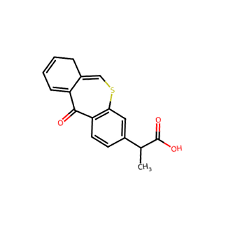 CC(C(=O)O)c1ccc2c(c1)SC=C1CC=CC=C1C2=O